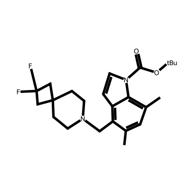 Cc1cc(C)c2c(ccn2C(=O)OC(C)(C)C)c1CN1CCC2(CC1)CC(F)(F)C2